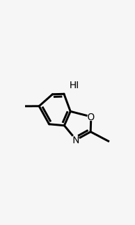 Cc1ccc2oc(C)nc2c1.I